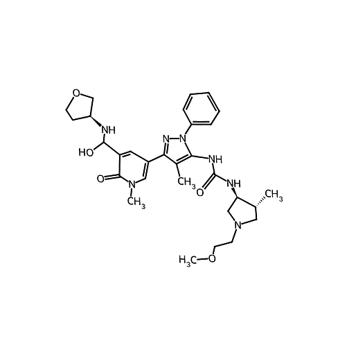 COCCN1C[C@@H](C)[C@H](NC(=O)Nc2c(C)c(-c3cc(C(O)N[C@H]4CCOC4)c(=O)n(C)c3)nn2-c2ccccc2)C1